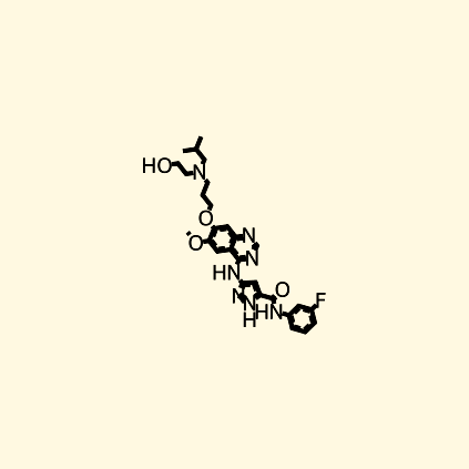 COc1cc2c(Nc3cc(C(=O)Nc4cccc(F)c4)[nH]n3)ncnc2cc1OCCCN(CCO)CC(C)C